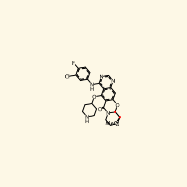 COCCOc1cc2ncnc(Nc3ccc(F)c(Cl)c3)c2c(OC2CCNCC2)c1C(=O)N1CCOCC1